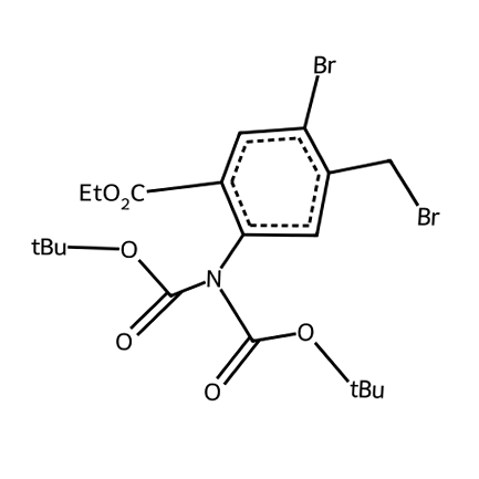 CCOC(=O)c1cc(Br)c(CBr)cc1N(C(=O)OC(C)(C)C)C(=O)OC(C)(C)C